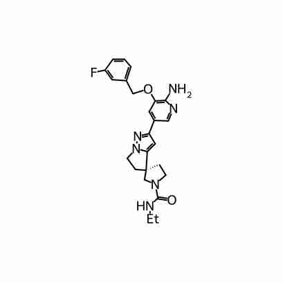 CCNC(=O)N1CC[C@@]2(CCn3nc(-c4cnc(N)c(OCc5cccc(F)c5)c4)cc32)C1